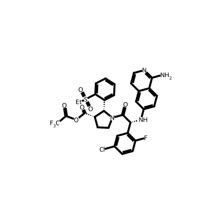 CCS(=O)(=O)c1ccccc1[C@H]1[C@@H](C(=O)OC(=O)C(F)(F)F)CCN1C(=O)[C@H](Nc1ccc2c(N)nccc2c1)c1cc(Cl)ccc1F